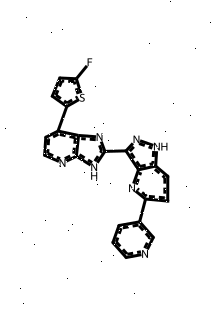 Fc1ccc(-c2ccnc3[nH]c(-c4n[nH]c5ccc(-c6cccnc6)nc45)nc23)s1